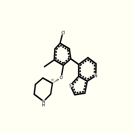 Cc1cc(Cl)cc(-c2ccnc3ccsc23)c1O[C@H]1CCCNC1